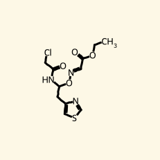 CCOC(=O)C=NOC(Cc1cscn1)NC(=O)CCl